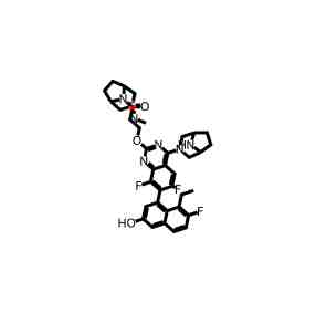 CCc1c(F)ccc2cc(O)cc(-c3c(F)cc4c(N5CC6CCC(C5)N6)nc(OCCCN5C6CCC5CS(=O)(=NC)C6)nc4c3F)c12